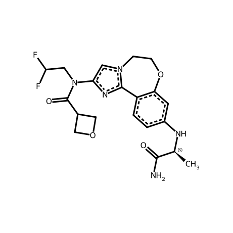 C[C@H](Nc1ccc2c(c1)OCCn1cc(N(CC(F)F)C(=O)C3COC3)nc1-2)C(N)=O